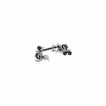 CN[C@@H](C)C(=O)NC1C(=O)N2[C@@H](CC[C@@H]1CO)CC[C@H]2C(=O)N[C@H](C(=O)NCCCCCCCCNC(=O)COCC(=O)NC[C@H]1CC[C@H]2CC[C@@H](C(=O)NC(c3ccccc3)c3ccccc3)N2C(=O)[C@H]1NC(=O)[C@H](C)NC)c1ccccc1